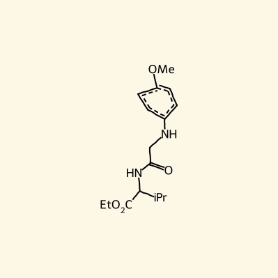 CCOC(=O)C(NC(=O)CNc1ccc(OC)cc1)C(C)C